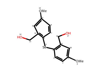 COc1ccc([Se]c2ccc(OC)cc2CO)c(CO)c1